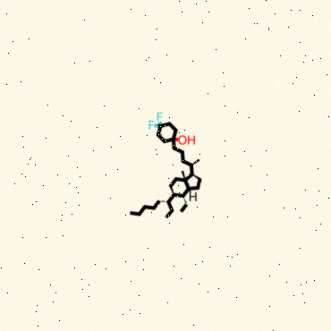 CCCCC[C@@H](CC)[C@H]1CC[C@]2(C)[C@@H]([C@H](C)CCCC3(O)CCC(F)(F)CC3)CC[C@H]2[C@@H]1CC